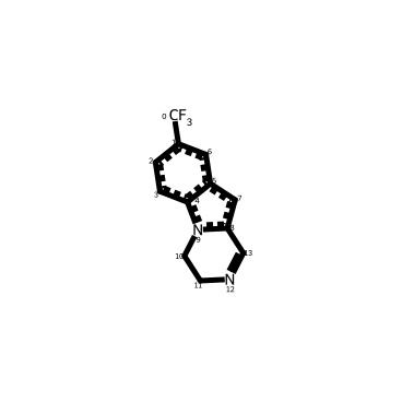 FC(F)(F)c1ccc2c(c1)cc1n2CCN=C1